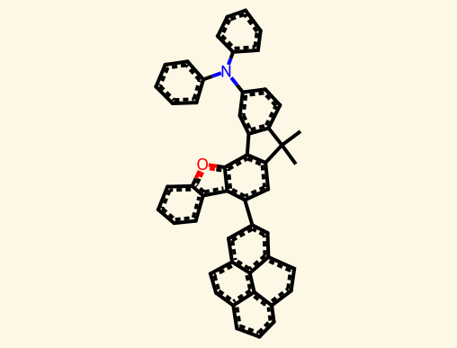 CC1(C)c2ccc(N(c3ccccc3)c3ccccc3)cc2-c2c1cc(-c1cc3ccc4cccc5ccc(c1)c3c45)c1c2oc2ccccc21